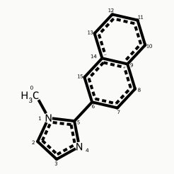 Cn1ccnc1-c1ccc2ccccc2c1